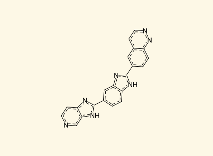 c1cc2nc(-c3ccc4[nH]c(-c5ccc6nnccc6c5)nc4c3)[nH]c2cn1